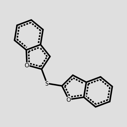 c1ccc2oc(Sc3cc4ccccc4o3)cc2c1